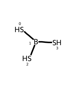 SB(S)S